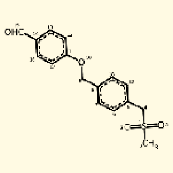 CS(=O)(=O)Cc1ccc(COc2ccc(C=O)cc2)cc1